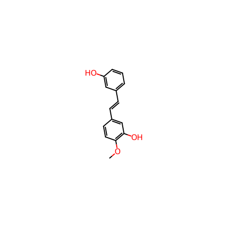 COc1ccc(/C=C/c2cccc(O)c2)cc1O